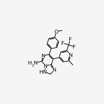 COc1ccc(C2=C(c3cc(C)nc(C(F)(F)F)c3)C3=NCNN3C(N)=N2)cc1